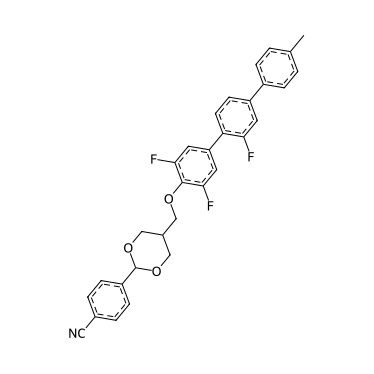 Cc1ccc(-c2ccc(-c3cc(F)c(OCC4COC(c5ccc(C#N)cc5)OC4)c(F)c3)c(F)c2)cc1